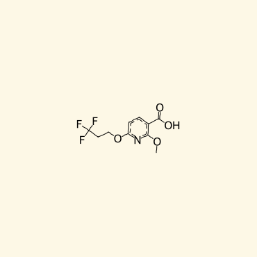 COc1nc(OCCC(F)(F)F)ccc1C(=O)O